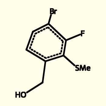 CSc1c(CO)ccc(Br)c1F